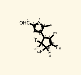 Cc1sc(C=O)cc1C1C(F)=C(F)C(F)(F)C1(F)F